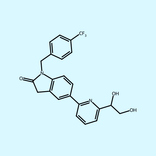 O=C1Cc2cc(-c3cccc(C(O)CO)n3)ccc2N1Cc1ccc(C(F)(F)F)cc1